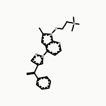 C=C(c1ccccc1)c1cnn(-c2ccnc3c2cc(C)n3OCC[Si](C)(C)C)c1